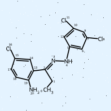 CC/C(=N\Nc1cc(Cl)cc(Cl)c1)c1cc(Cl)ccc1N